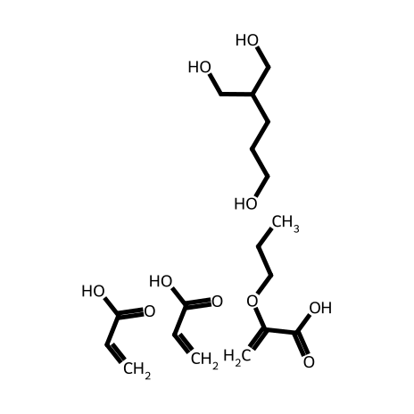 C=C(OCCC)C(=O)O.C=CC(=O)O.C=CC(=O)O.OCCCC(CO)CO